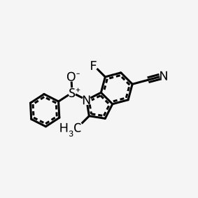 Cc1cc2cc(C#N)cc(F)c2n1[S+]([O-])c1ccccc1